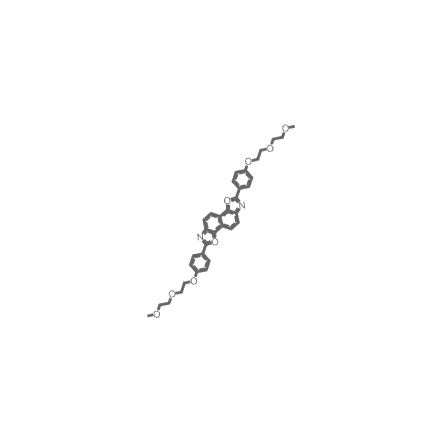 COCCOCCOc1ccc(-c2nc3ccc4c(ccc5nc(-c6ccc(OCCOCCOC)cc6)oc54)c3o2)cc1